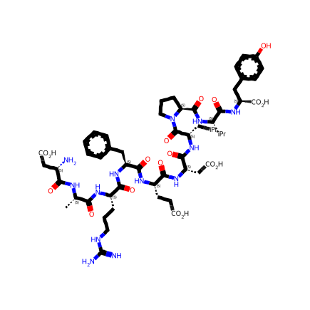 CC(C)C[C@H](NC(=O)[C@H](CC(=O)O)NC(=O)[C@H](CCC(=O)O)NC(=O)[C@H](Cc1ccccc1)NC(=O)[C@H](CCCNC(=N)N)NC(=O)[C@H](C)NC(=O)[C@@H](N)CC(=O)O)C(=O)N1CCC[C@H]1C(=O)N[C@H](C(=O)N[C@@H](Cc1ccc(O)cc1)C(=O)O)C(C)C